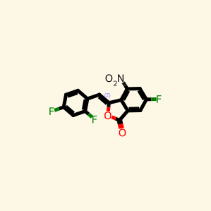 O=C1O/C(=C\c2ccc(F)cc2F)c2c1cc(F)cc2[N+](=O)[O-]